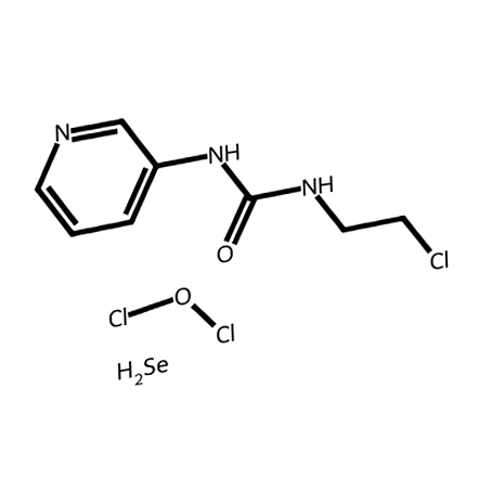 ClOCl.O=C(NCCCl)Nc1cccnc1.[SeH2]